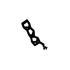 CC(C)CC1CC2CC1C1C3CC(C4C5C=CC(C5)C34)C21